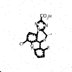 C[C@@H]1N=C(c2c(F)cccc2F)c2c(ccc(Cl)c2Cl)-n2nc(C(=O)O)nc21